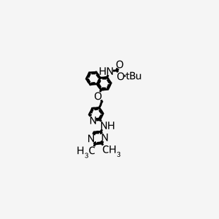 Cc1ncc(Nc2cc(COc3ccc(NC(=O)OC(C)(C)C)c4ccccc34)ccn2)nc1C